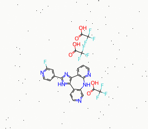 Fc1cc(-c2nc3c([nH]2)-c2ccncc2Nc2ncccc2-3)ccn1.O=C(O)C(F)(F)F.O=C(O)C(F)(F)F.O=C(O)C(F)(F)F